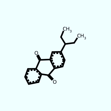 CCC(CC)c1ccc2c(c1)C(=O)c1ccccc1C2=O